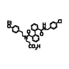 CCOc1ccc(CCN(CCC(=O)O)C(=O)c2ccccc2-c2ccccc2C(=O)NCc2ccc(Cl)cc2)cc1